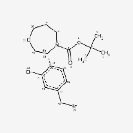 CC(C)(C)OC(=O)N1CCCOC[C@H]1c1ccc(CBr)cc1Cl